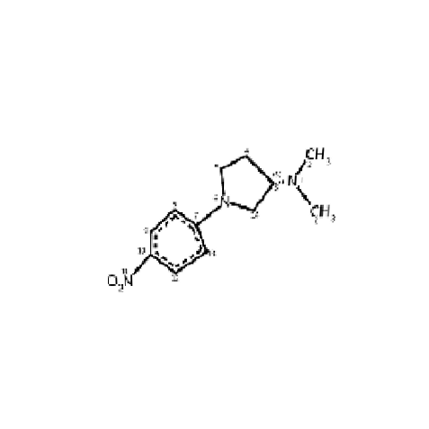 CN(C)[C@H]1CCN(c2ccc([N+](=O)[O-])cc2)C1